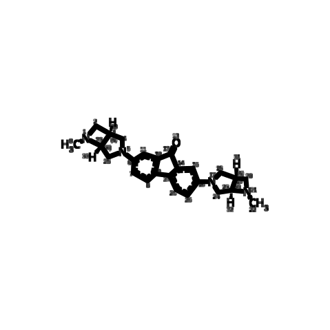 CN1C[C@H]2CN(c3ccc4c(c3)C(=O)c3cc(N5C[C@@H]6CN(C)[C@H]6C5)ccc3-4)C[C@@H]21